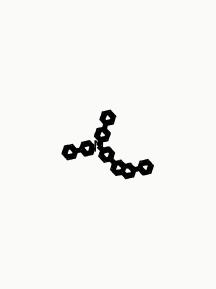 c1ccc(-c2ccc(N(c3ccc(-c4ccccc4)cc3)c3ccc(-c4ccc5ccc(-c6ccccc6)cc5c4)cc3)cc2)cc1